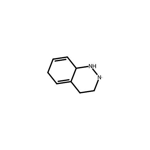 C1=CC2N[N]CCC2=CC1